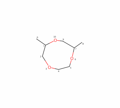 CC1COCCOC(C)CO1